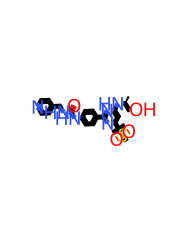 C[C@@H](CO)Nc1cc(C(C)(C)S(C)(=O)=O)nc(-c2ccc(NC(=O)NCc3ccncc3)cc2)n1